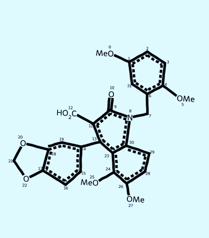 COc1ccc(OC)c(Cn2c(=O)c(C(=O)O)c(-c3ccc4c(c3)OCO4)c3c(OC)c(OC)ccc32)c1